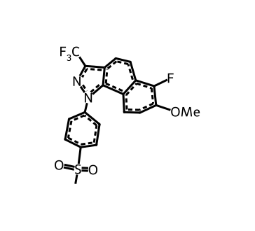 COc1ccc2c(ccc3c(C(F)(F)F)nn(-c4ccc(S(C)(=O)=O)cc4)c32)c1F